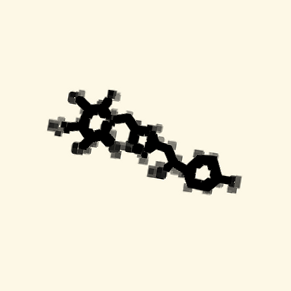 Nc1c(Cl)c(F)n(Cc2nc(C[C@H](O)c3ccc(Cl)cc3)no2)c(=O)c1Cl